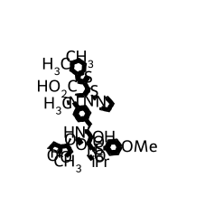 COc1ccc(S(=O)(=O)N(CC(C)C)C[C@@H](O)[C@H](Cc2ccc(N(C)Cc3nc(N4CCCC4)sc3-c3sc4c(c3C(=O)O)CC(C)(C)CC4)cc2)NC(=O)O[C@H]2CO[C@@]3(C)OCC[C@@H]23)cc1